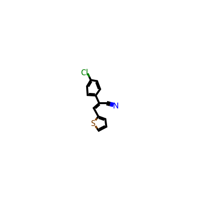 N#CC(=Cc1cccs1)c1ccc(Cl)cc1